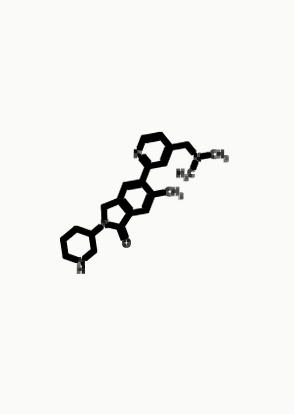 Cc1cc2c(cc1-c1cc(CN(C)C)ccn1)CN(C1CCCNC1)C2=O